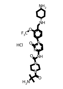 CC(C)(N)C(=O)N1CCN(C(=O)Nc2ccn(-c3ccc(CN[C@H]4CC[C@H](N)CC4)c(OC(F)(F)F)c3)c(=O)n2)CC1.Cl